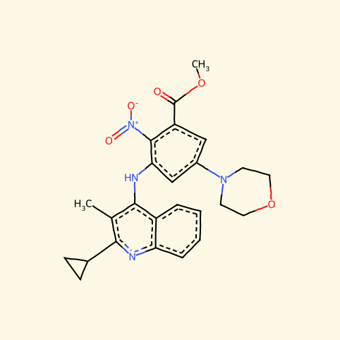 COC(=O)c1cc(N2CCOCC2)cc(Nc2c(C)c(C3CC3)nc3ccccc23)c1[N+](=O)[O-]